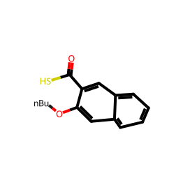 CCCCOc1cc2ccccc2cc1C(=O)S